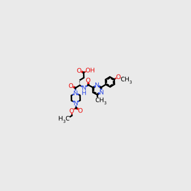 CCOC(=O)N1CCN(C(=O)[C@H](CCC(=O)O)NC(=O)c2cc(C)nc(-c3ccc(OC)cc3)n2)CC1